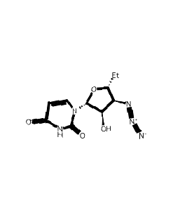 CC[C@H]1O[C@@H](n2ccc(=O)[nH]c2=O)[C@H](O)[C@@H]1N=[N+]=[N-]